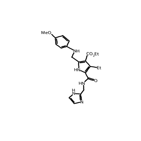 CCOC(=O)c1c(CNc2ccc(OC)cc2)[nH]c(C(=O)NCc2ncc[nH]2)c1CC